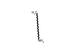 CCCCCCCCCCCCCCCCC[CH]CCCN